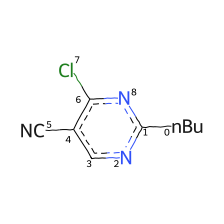 CCCCc1ncc(C#N)c(Cl)n1